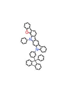 c1ccc(-n2c3cc4c(cc3c3ccc5c6ccccc6oc5c32)c2ccccc2n4-c2cccc(C3(c4ccccc4)c4ccccc4-c4ccccc43)c2)cc1